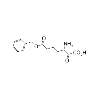 NC(CCCC(=O)OCc1ccccc1)C(=O)C(=O)O